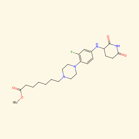 CC(C)(C)OC(=O)CCCCCCN1CCN(c2ccc(NC3CCC(=O)NC3=O)cc2F)CC1